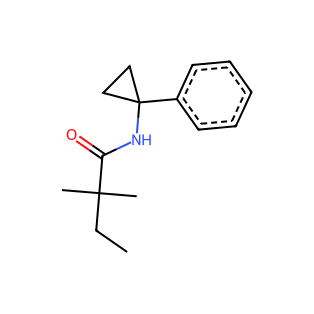 CCC(C)(C)C(=O)NC1(c2ccccc2)CC1